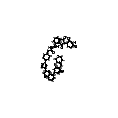 O=C(CN1CCC(n2cc(-c3cnc4cccc(-c5cc(F)c(CN6CCOCC6)c(F)c5)c4n3)cn2)CC1)NNc1cccc2c1C(=O)N(C1CCC(=O)NC1=O)C2=O